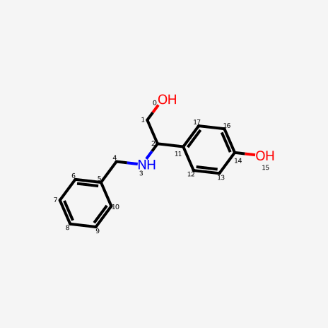 OCC(NCc1ccccc1)c1ccc(O)cc1